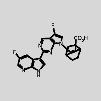 O=C(O)C1=C(n2cc(F)c3cnc(-c4c[nH]c5ncc(F)cc45)nc32)C2CCC1CC2